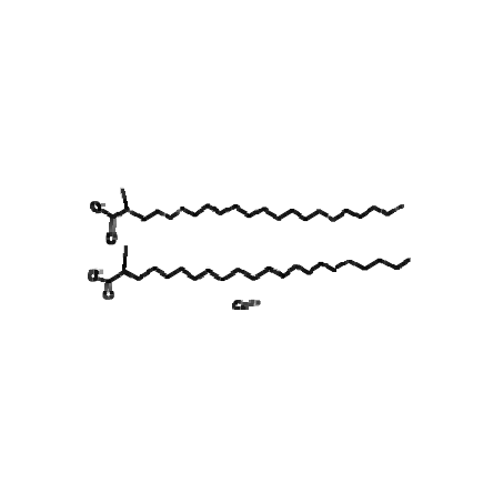 CCCCCCCCCCCCCCCCCCCCC(I)C(=O)[O-].CCCCCCCCCCCCCCCCCCCCC(I)C(=O)[O-].[Ca+2]